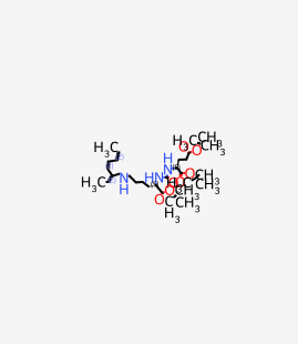 C\C=C/C=C\C(=C/C)CNCCCC[C@H](NC(=O)N[C@@H](CCC(=O)OC(C)(C)C)C(=O)OC(C)(C)C)C(=O)OC(C)(C)C